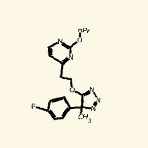 CCCOc1nccc(CCOC2=NN=NC2(C)c2ccc(F)cc2)n1